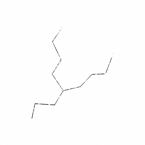 CCCC(CCCI)CCCI